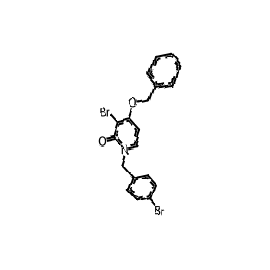 O=c1c(Br)c(OCc2ccccc2)ccn1Cc1ccc(Br)cc1